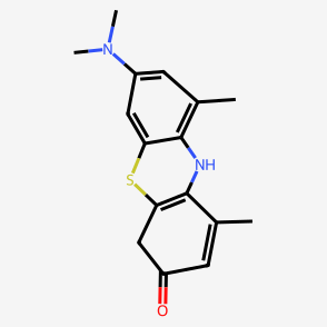 CC1=CC(=O)CC2=C1Nc1c(C)cc(N(C)C)cc1S2